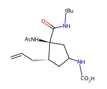 C=CC[C@H]1CC(NC(=O)O)C[C@@]1(NC(C)=O)C(=O)NC(C)(C)C